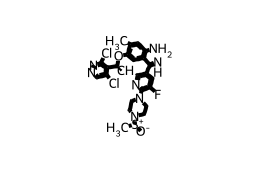 Cc1cc(N)c(C(=N)c2cnc(N3CCN([S+](C)[O-])CC3)c(F)c2)cc1O[C@@H](C)c1c(Cl)cnnc1Cl